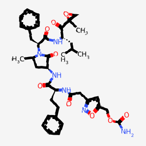 CC(C)C[C@H](NC(=O)[C@H](Cc1ccccc1)N1C(=O)[C@@H](NC(=O)[C@H](CCc2ccccc2)NC(=O)Cc2cc(COC(N)=O)on2)CC1C)C(=O)C1(C)CO1